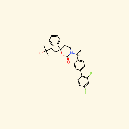 C[C@@H](c1ccc(-c2ccc(F)cc2F)cc1)N1CCC(CCC(C)(C)O)(c2ccccc2)OC1=O